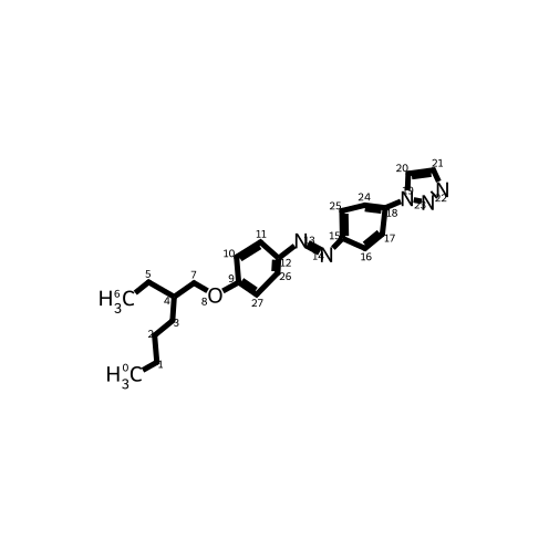 CCCCC(CC)COc1ccc(N=Nc2ccc(-n3ccnn3)cc2)cc1